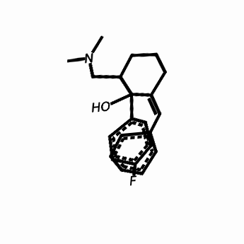 CN(C)CC1CCC/C(=C/c2ccccc2)C1(O)c1ccc(F)cc1